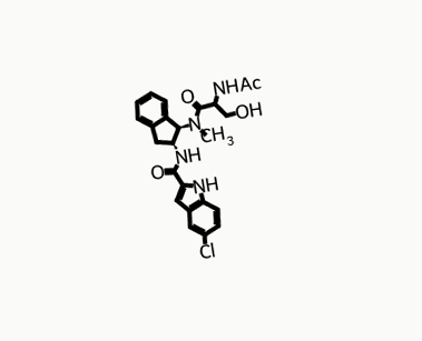 CC(=O)NC(CO)C(=O)N(C)[C@@H]1c2ccccc2C[C@H]1NC(=O)c1cc2cc(Cl)ccc2[nH]1